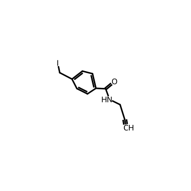 C#CCNC(=O)c1ccc(CI)cc1